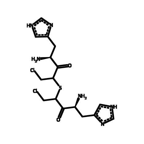 N[C@@H](Cc1c[nH]cn1)C(=O)C(CCl)SC(CCl)C(=O)[C@@H](N)Cc1c[nH]cn1